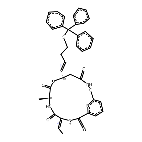 C/C=C1\NC(=O)c2cccc(n2)CNC(=O)C[C@@H](/C=C/CCSC(c2ccccc2)(c2ccccc2)c2ccccc2)OC(=O)[C@H](C)NC1=O